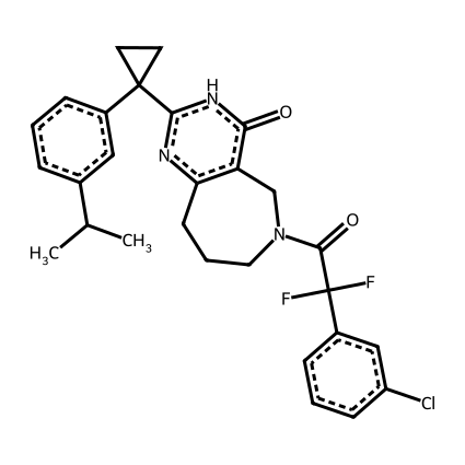 CC(C)c1cccc(C2(c3nc4c(c(=O)[nH]3)CN(C(=O)C(F)(F)c3cccc(Cl)c3)CCC4)CC2)c1